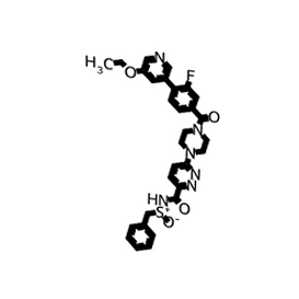 CCOc1cncc(-c2ccc(C(=O)N3CCN(c4ccc(C(=O)N[S+]([O-])Cc5ccccc5)nn4)CC3)cc2F)c1